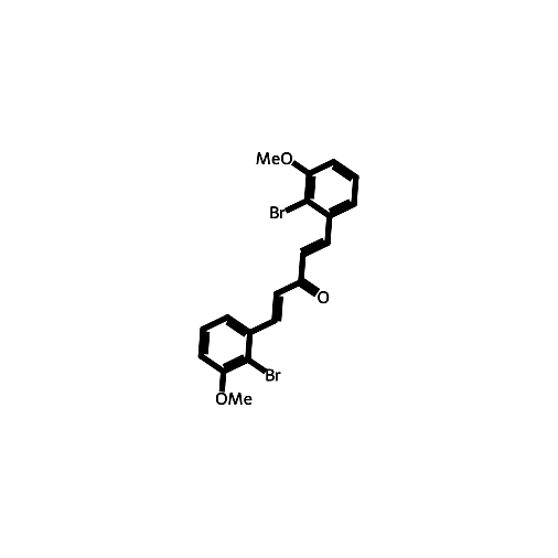 COc1cccc(C=CC(=O)C=Cc2cccc(OC)c2Br)c1Br